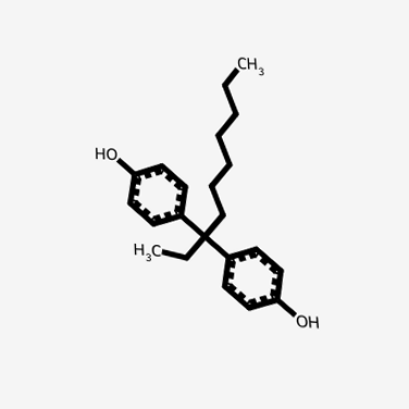 CCCCCCCC(CC)(c1ccc(O)cc1)c1ccc(O)cc1